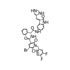 Cc1c(Br)cc(C(=O)N[C@@H](C(=O)Nc2ccc3c(c2)/C(=C/C2=CNCN2)C(=O)N3)c2ccccc2)c(=O)n1Cc1ccc(F)c(F)c1